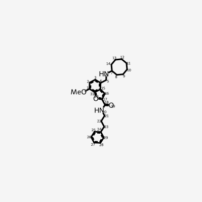 COc1ccc(CNC2CCCCCCC2)c2cc(C(=O)NCCCc3ccccc3)oc12